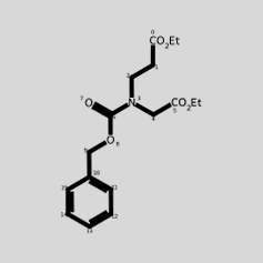 CCOC(=O)CCN(CC(=O)OCC)C(=O)OCc1ccccc1